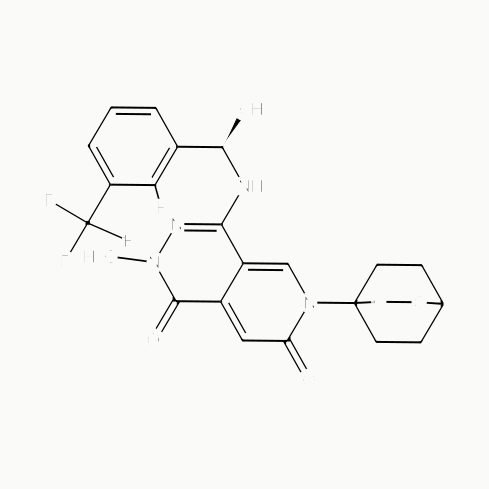 C[C@@H](Nc1nn(C)c(=O)c2cc(=O)n(C34CCC(CC3)CC4)cc12)c1cccc(C(F)(F)F)c1F